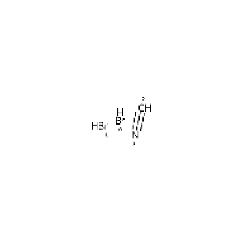 Br.Br.C#N